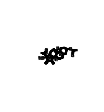 C=C1C(=C)[C@](O)(C(C)=O)[C@@]2(C)CC[C@H]3[C@@H](CC=C4CC(OC(C)=O)CC[C@@]43C)[C@H]12